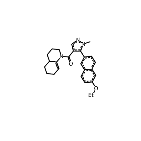 CCOc1ccc2cc(-c3c(C(=O)N4CCCC5CCCC=C54)cnn3C)ccc2c1